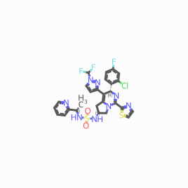 C[C@@H](NS(=O)(=O)N[C@H]1CC2=C(c3ccn(C(F)F)n3)[C@H](c3ccc(F)cc3Cl)N=C(c3nccs3)N2C1)c1ccccn1